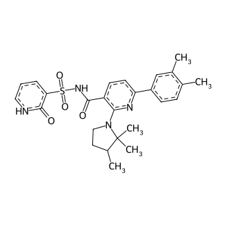 Cc1ccc(-c2ccc(C(=O)NS(=O)(=O)c3ccc[nH]c3=O)c(N3CCC(C)C3(C)C)n2)cc1C